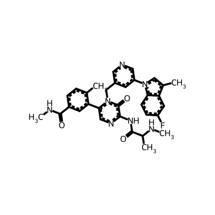 CNC(=O)c1ccc(C)c(-c2cnc(NC(=O)C(C)NC)c(=O)n2Cc2cncc(-n3cc(C)c4cc(F)ccc43)c2)c1